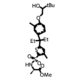 CCC(CC)(c1ccc(OCC(O)C(C)(C)C)c(C)c1)c1cc(C)c(S(=O)(=O)N[C@H](C)C(=O)OC)s1